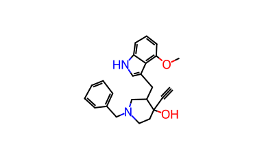 C#CC1(O)CCN(Cc2ccccc2)CC1Cc1c[nH]c2cccc(OC)c12